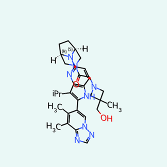 Cc1c(-c2[nH]c3ccc(N4[C@@H]5CC[C@H]4CN(C(=O)CN4CC(C)(CO)C4)C5)nc3c2C(C)C)cn2ncnc2c1C